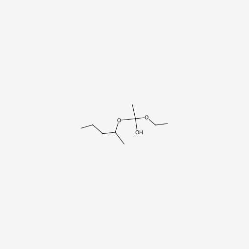 CCCC(C)OC(C)(O)OCC